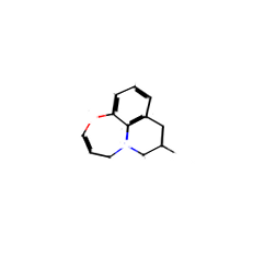 O=C(O)C1Cc2cccc3c2N(CC=CO3)C1